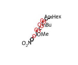 CCCCCCC=CCC(CC(C)=O)OC(=O)CC(CCCC)OC(=O)CC(C)OC(=O)CC(COc1ccc([N+](=O)[O-])cc1)OC